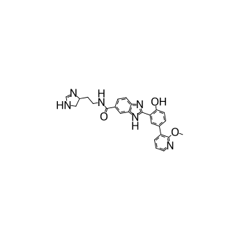 COc1ncccc1-c1ccc(O)c(-c2nc3ccc(C(=O)NCCC4CNC=N4)cc3[nH]2)c1